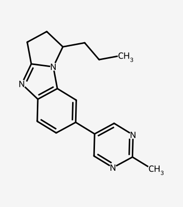 CCCC1CCc2nc3ccc(-c4cnc(C)nc4)cc3n21